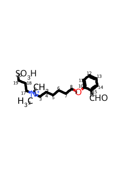 C[N+](C)(CCCCCCOc1ccccc1C=O)CCCS(=O)(=O)O